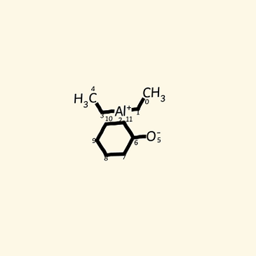 C[CH2][Al+][CH2]C.[O-]C1CCCCC1